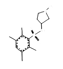 Cc1cc(C)c(C)c(S(=O)(=O)NC2CCN(C#N)C2)c1C